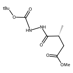 COC(=O)C[C@@H](C)C(=O)NNC(=O)OC(C)(C)C